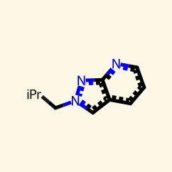 CC(C)Cn1cc2cccnc2n1